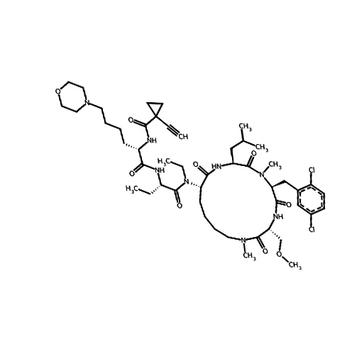 C#CC1(C(=O)N[C@@H](CCCCN2CCOCC2)C(=O)N[C@@H](CC)C(=O)N(CC)[C@H]2CCCCN(C)C(=O)[C@@H](COC)NC(=O)[C@H](Cc3cc(Cl)ccc3Cl)N(C)C(=O)[C@H](CC(C)C)NC2=O)CC1